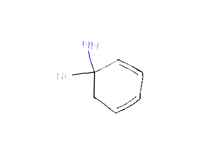 N#CC1(N)C=CC=CC1